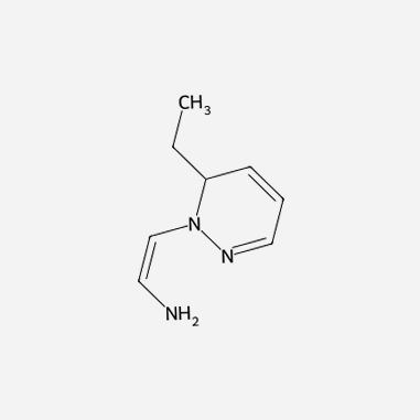 CCC1C=CC=NN1/C=C\N